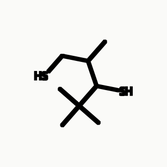 CC(CS)C(S)C(C)(C)C